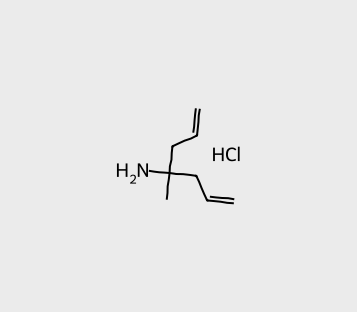 C=CCC(C)(N)CC=C.Cl